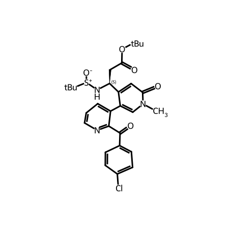 Cn1cc(-c2cccnc2C(=O)c2ccc(Cl)cc2)c([C@H](CC(=O)OC(C)(C)C)N[S+]([O-])C(C)(C)C)cc1=O